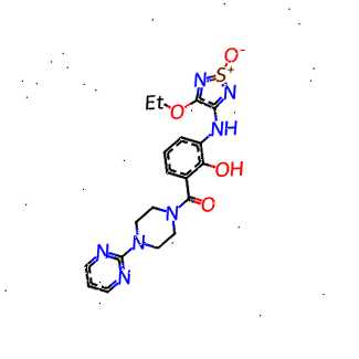 CCOc1n[s+]([O-])nc1Nc1cccc(C(=O)N2CCN(c3ncccn3)CC2)c1O